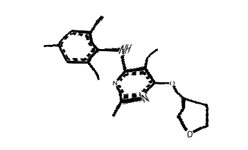 Cc1cc(C)c(Nc2nc(C)nc(OC3CCOC3)c2C)c(C)c1